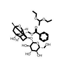 CCOC(C)OCC.C[C@@]12C[C@@]3(O)O[C@@H](O1)[C@]1(COC(=O)c4ccccc4)[C@H]3C[C@@]12O[C@@H]1O[C@H](CO)[C@@H](O)[C@H](O)[C@H]1O